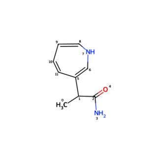 CC(C(N)=O)C1=CNC=CC=C1